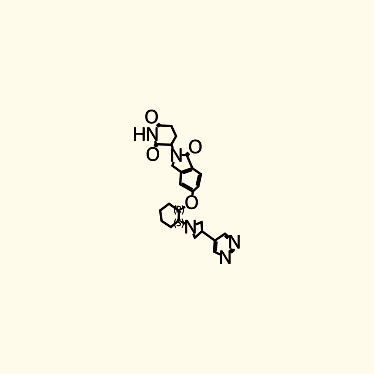 O=C1CCC(N2Cc3cc(O[C@@H]4CCCC[C@@H]4N4CC(c5cncnc5)C4)ccc3C2=O)C(=O)N1